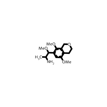 COc1cc(C(OC)C(C)N)c(OC)c2c1CCOC2